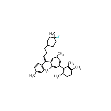 CC1=CC(C2=C(C)CCC(C)=C2C)=CC(C)C=C1/C(=C\CCC1CCC(C)(F)CC1)c1ccc(C)cc1